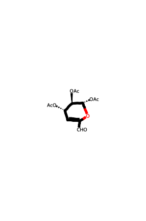 CC(=O)O[C@@H]1OC(C=O)=C[C@H](OC(C)=O)[C@H]1OC(C)=O